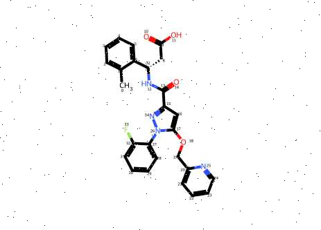 Cc1ccccc1[C@H](CC(=O)O)NC(=O)c1cc(OCc2ccccn2)n(-c2ccccc2F)n1